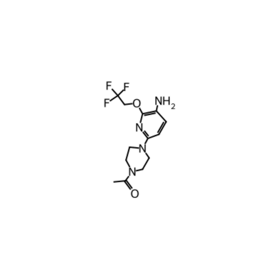 CC(=O)N1CCN(c2ccc(N)c(OCC(F)(F)F)n2)CC1